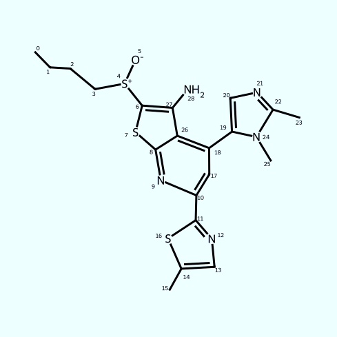 CCCC[S+]([O-])c1sc2nc(-c3ncc(C)s3)cc(-c3cnc(C)n3C)c2c1N